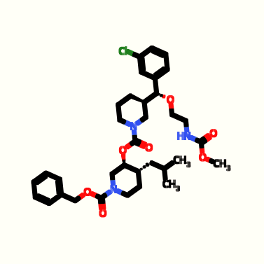 COC(=O)NCCO[C@@H](c1cccc(Cl)c1)[C@@H]1CCCN(C(=O)O[C@@H]2CN(C(=O)OCc3ccccc3)CC[C@H]2CC(C)C)C1